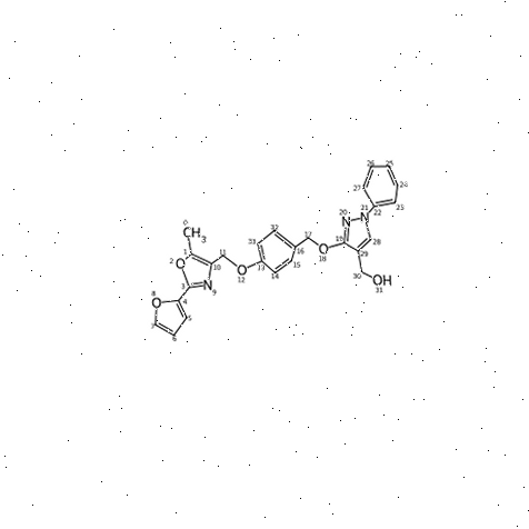 Cc1oc(-c2ccco2)nc1COc1ccc(COc2nn(-c3ccccc3)cc2CO)cc1